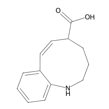 O=C(O)C1C=Cc2ccccc2NCCC1